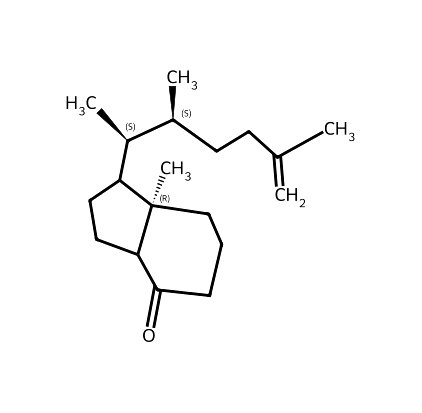 C=C(C)CC[C@H](C)[C@H](C)C1CCC2C(=O)CCC[C@@]21C